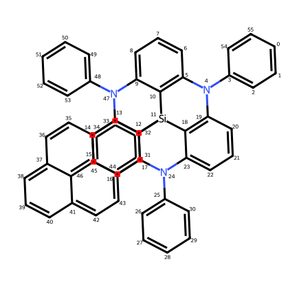 c1ccc(N2c3cccc4c3[Si]3(c5ccccc5)c5c2cccc5N(c2ccccc2)c2c3c(c3ccc5cccc6ccc2c3c56)N4c2ccccc2)cc1